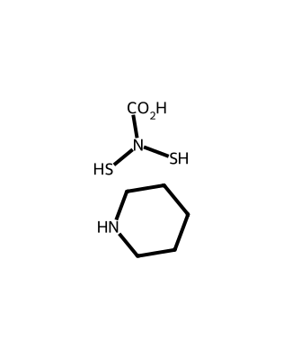 C1CCNCC1.O=C(O)N(S)S